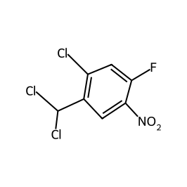 O=[N+]([O-])c1cc(C(Cl)Cl)c(Cl)cc1F